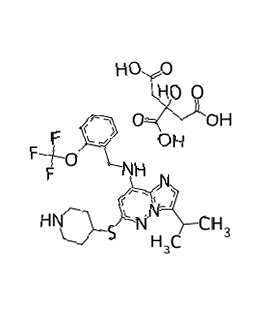 CC(C)c1cnc2c(NCc3ccccc3OC(F)(F)F)cc(SC3CCNCC3)nn12.O=C(O)CC(O)(CC(=O)O)C(=O)O